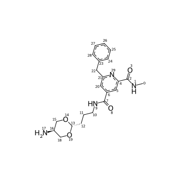 CNC(=O)c1cc(C(=O)NCCC[C@H]2OC[C@H](N)CO2)cc(Cc2ccccc2)n1